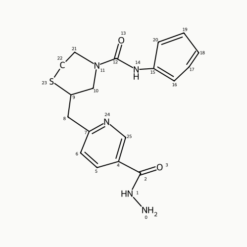 NNC(=O)c1ccc(CC2CN(C(=O)Nc3ccccc3)CCS2)nc1